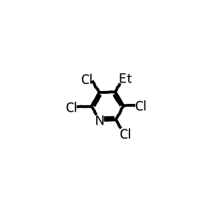 CCc1c(Cl)c(Cl)nc(Cl)c1Cl